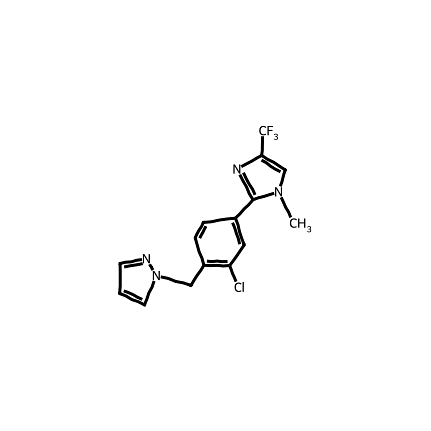 Cn1cc(C(F)(F)F)nc1-c1ccc(Cn2cccn2)c(Cl)c1